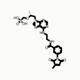 CC1=CC(=O)N(c2cccc(C(=O)NCCNc3ncnc4c3ncn4C[C@@H](C)OCP(=O)(O)O)c2)C1=O